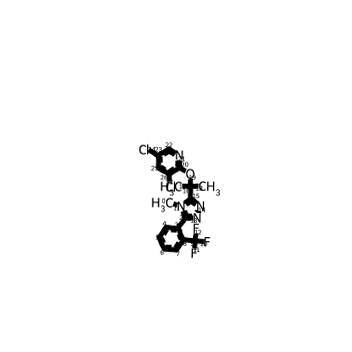 Cn1c(-c2ccccc2C(F)(F)F)nnc1C(C)(C)Oc1ncc(Cl)cc1Cl